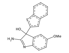 COc1ccc2c(c1)C(O)(c1cc3ccccc3s1)C(N)=N2